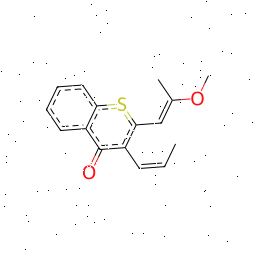 C/C=C\c1c(/C=C(\C)OC)sc2ccccc2c1=O